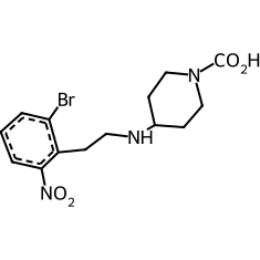 O=C(O)N1CCC(NCCc2c(Br)cccc2[N+](=O)[O-])CC1